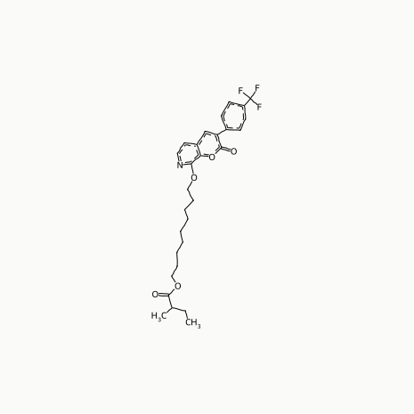 CCC(C)C(=O)OCCCCCCCCCOc1nccc2cc(-c3ccc(C(F)(F)F)cc3)c(=O)oc12